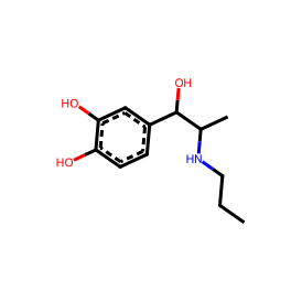 CCCNC(C)C(O)c1ccc(O)c(O)c1